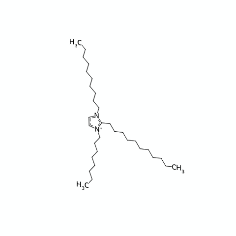 CCCCCCCCCCCc1n(CCCCCCCCCC)cc[n+]1CCCCCCCC